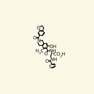 Cc1c2c(cc(O)c1C(=O)N[C@@H](CNC(=O)c1cccs1)C(=O)O)CN(C(=O)c1ccc3c(c1)OCC3)CC2